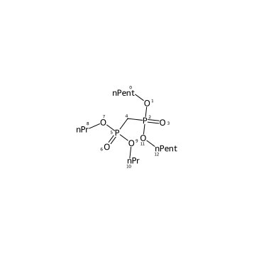 CCCCCOP(=O)(CP(=O)(OCCC)OCCC)OCCCCC